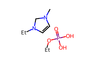 CCN1C=CN(C)C1.CCOP(=O)(O)O